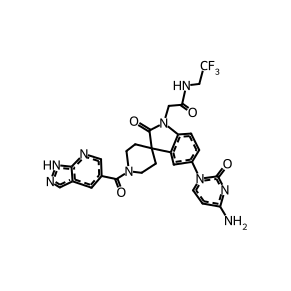 Nc1ccn(-c2ccc3c(c2)C2(CCN(C(=O)c4cnc5[nH]ncc5c4)CC2)C(=O)N3CC(=O)NCC(F)(F)F)c(=O)n1